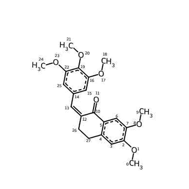 COc1cc2c(cc1OC)C(=O)C(=Cc1cc(OC)c(OC)c(OC)c1)CC2